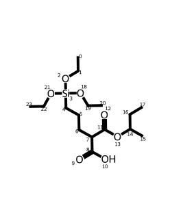 CCO[Si](CCCC(C(=O)O)C(=O)OC(C)CC)(OCC)OCC